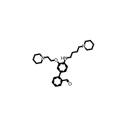 O=Cc1ccccc1-c1ccc(NCCCCN2CCCCC2)c(OCCN2CCCCC2)c1